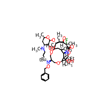 CC[C@H]1OC(=O)[C@@](C)(F)C(=O)[C@H](C)[C@@H](O[C@@H]2O[C@H](C)C[C@H](N(C)CCC(C)(C)C)[C@H]2O)[C@@]2(C)C[C@@H](C)/C(=N\C(C)=O)[C@H](C)[C@@H](OC/C(=N\OCc3ccccc3)CO2)[C@]1(C)O